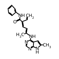 C=C/C(=C\C=C(/C)Nc1ncnc2[nH]c(C)cc12)C(=O)Nc1ccccc1